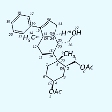 CC(=O)OC[C@H]1C[C@@H](OC(C)=O)CC[C@]1(C)[C@H]1CC[C@]2(C)C(c3ccccc3)=CC[C@H]2[C@@H]1CO